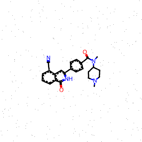 CN1CCC(N(C)C(=O)c2ccc(-c3cc4c(C#N)cccc4c(=O)[nH]3)cc2)CC1